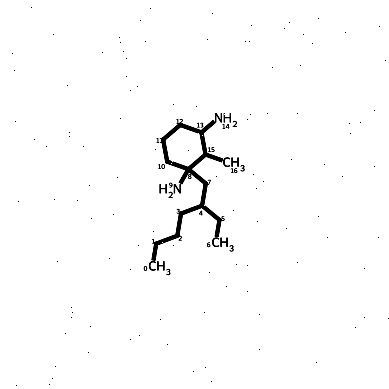 CCCCC(CC)CC1(N)CCCC(N)C1C